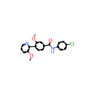 COc1cc(C(=O)Nc2ccc(Cl)cc2)ccc1-c1ncccc1OC